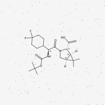 CC(C)(C)OC(=O)N[C@H](C(=O)N1C[C@H]2[C@@H]([C@H]1C(=O)O)C2(C)C)C1CCC(F)(F)CC1